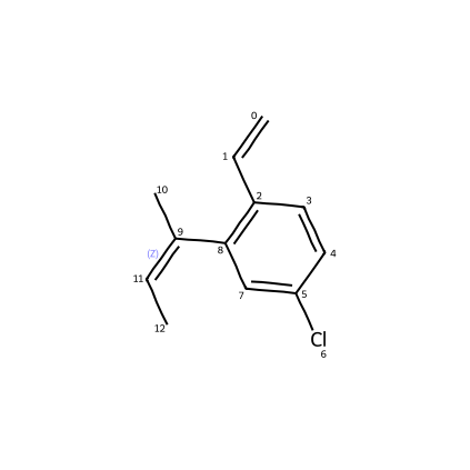 C=Cc1ccc(Cl)cc1/C(C)=C\C